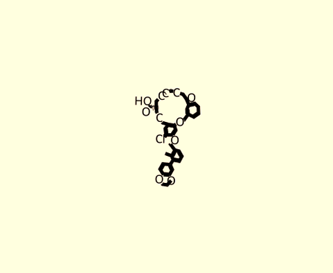 Cc1c(COc2cc3c(cc2Cl)CCC[C@H](C(=O)O)CCCCCCC(=O)C2=CCC=CC(=C2)CO3)cccc1-c1ccc2c(c1)OCCO2